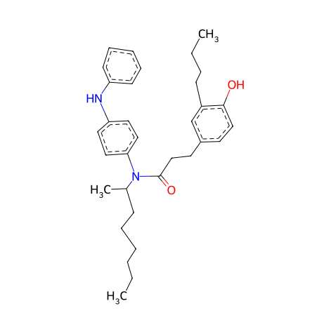 CCCCCCC(C)N(C(=O)CCc1ccc(O)c(CCCC)c1)c1ccc(Nc2ccccc2)cc1